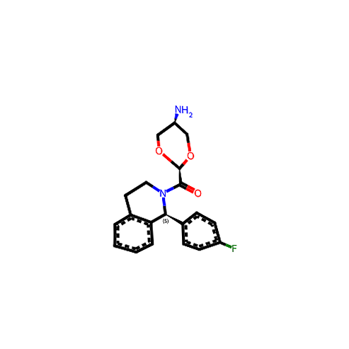 N[C@H]1CO[C@@H](C(=O)N2CCc3ccccc3[C@@H]2c2ccc(F)cc2)OC1